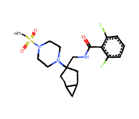 CCCS(=O)(=O)N1CCN(C2(CNC(=O)c3c(F)cccc3F)CC3CC3C2)CC1